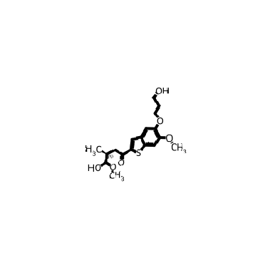 COc1cc2sc(C(=O)C[C@H](C)C(O)OC)cc2cc1OCCCO